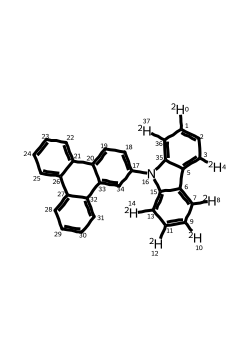 [2H]c1cc([2H])c2c3c([2H])c([2H])c([2H])c([2H])c3n(-c3ccc4c5ccccc5c5ccccc5c4c3)c2c1[2H]